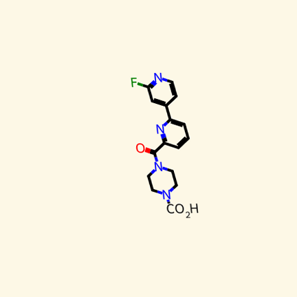 O=C(O)N1CCN(C(=O)c2cccc(-c3ccnc(F)c3)n2)CC1